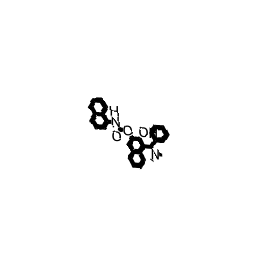 CN(C)C(c1ccccc1)c1c(O)c(OC(=O)Nc2cccc3ccccc23)cc2ccccc12